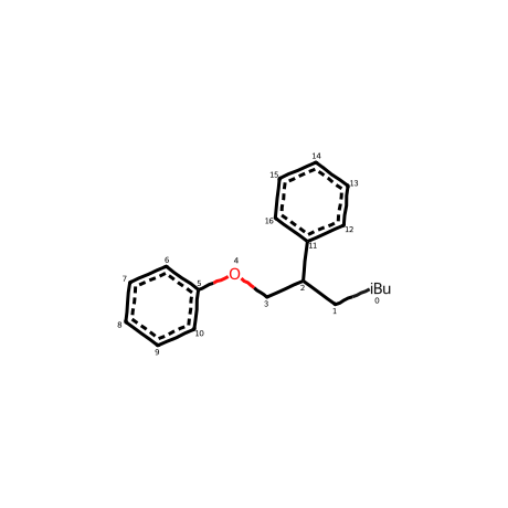 CCC(C)CC(COc1ccccc1)c1ccccc1